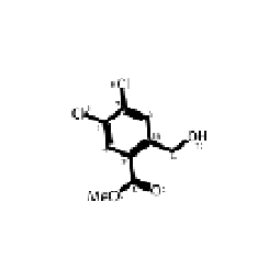 COC(=O)c1cc(Cl)c(Cl)cc1CO